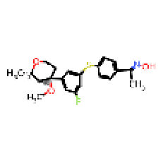 CO[C@]1(c2cc(F)cc(Sc3ccc(C(C)=NO)cc3)c2)CCO[C@@H](C)C1